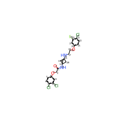 O=C(COc1ccc(Cl)c(Cl)c1)NC12CC(NCCOc3ccc(Cl)c(F)c3)(C1)C2